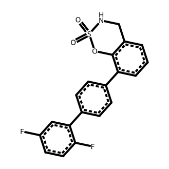 O=S1(=O)NCc2cccc(-c3ccc(-c4cc(F)ccc4F)cc3)c2O1